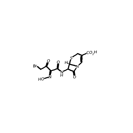 O=C(O)C1=CN2C(=O)C(NC(=O)C(=NO)C(=O)CBr)[C@H]2SC1